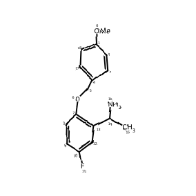 COc1ccc(COc2ccc(F)cc2C(C)N)cc1